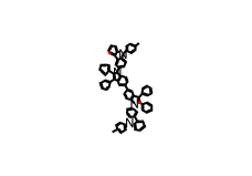 Cc1ccc(-n2c3ccccc3c3cc(-n4c(-c5ccccc5)c(-c5ccccc5)c5cc(-c6ccc7c(c6)c(-c6ccccc6)c(-c6ccccc6)n7-c6ccc7c(c6)c6ccccc6n7-c6ccc(C)cc6)ccc54)ccc32)cc1